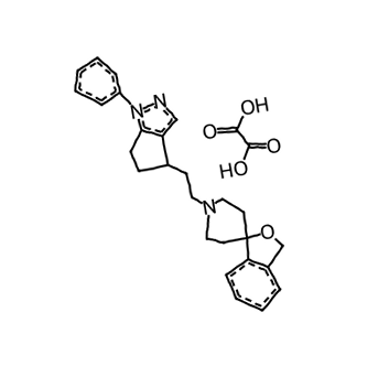 O=C(O)C(=O)O.c1ccc(-n2ncc3c2CCC3CCN2CCC3(CC2)OCc2ccccc23)cc1